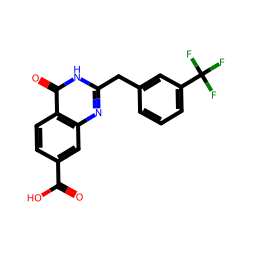 O=C(O)c1ccc2c(=O)[nH]c(Cc3cccc(C(F)(F)F)c3)nc2c1